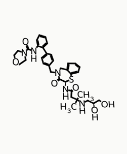 CC(C)(CC(=O)N[C@@H]1Sc2ccccc2CN(Cc2ccc(-c3ccccc3NC(=O)N3CCOCC3)cc2)C1=O)NC[C@H](O)CO